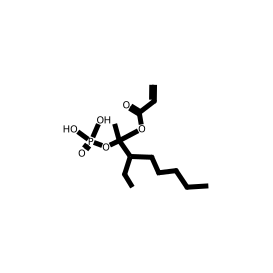 C=CC(=O)OC(C)(OP(=O)(O)O)C(CC)CCCCC